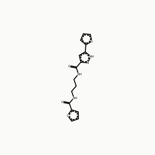 O=C(NCCCNC(=O)c1cccs1)c1cc(-c2cccs2)[nH]n1